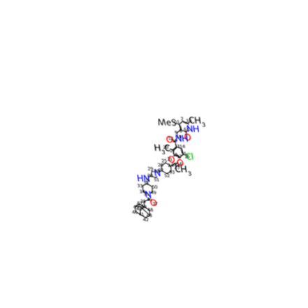 CSc1cc(C)[nH]c(=O)c1CNC(=O)c1cc(Cl)c2c(c1C)OC(C)(C1CCC(N3CC(NC4CCN(C(=O)CC56CC7CC(CC(C7)C5)C6)CC4)C3)CC1)O2